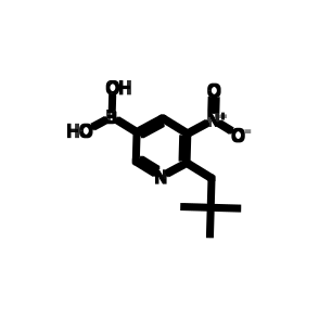 CC(C)(C)Cc1ncc(B(O)O)cc1[N+](=O)[O-]